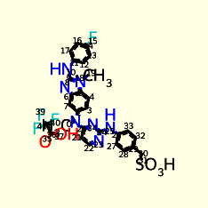 CN(c1ccc2c(c1)nc(Nc1ccc(F)cc1)n2C)c1ccnc(Nc2ccc(CS(=O)(=O)O)cc2)n1.O=C(O)C(F)(F)F